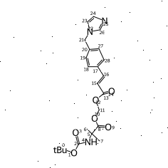 CC(C)(C)OC(=O)NC(C)(C)C(=O)OCOC(=O)/C=C/c1ccc(Cn2ccnc2)cc1